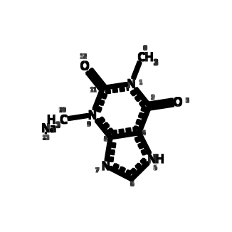 Cn1c(=O)c2[nH]cnc2n(C)c1=O.[Na]